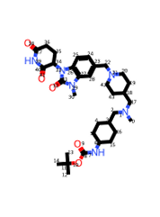 CN(CC1CCC(NC(=O)OC(C)(C)C)CC1)CC1CCN(Cc2ccc3c(c2)n(C)c(=O)n3C2CCC(=O)NC2=O)CC1